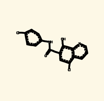 O=C(Nc1ccc(Cl)cc1)c1cc(Cl)c2cccnc2c1O